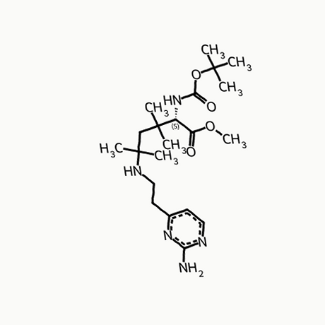 COC(=O)[C@@H](NC(=O)OC(C)(C)C)C(C)(C)CC(C)(C)NCCc1ccnc(N)n1